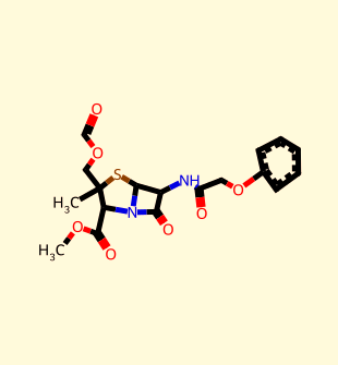 COC(=O)C1N2C(=O)C(NC(=O)COc3ccccc3)C2SC1(C)COC=O